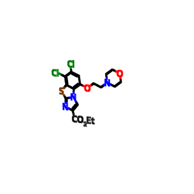 CCOC(=O)c1cn2c(n1)sc1c(Cl)c(Cl)cc(OCCN3CCOCC3)c12